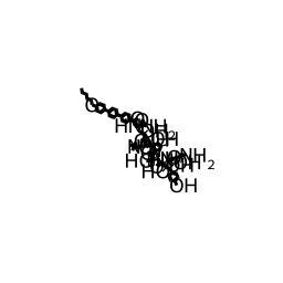 CCCCCOc1ccc(-c2ccc(-c3ccc(C(=O)N[C@@H](C[C@@H](O)[C@H](NC(=O)[C@@H]4[C@@H](O)[C@@H](C)CN4C(=O)[C@@H](NC(=O)[C@@H](NCO[C@@H](O)CN)[C@H](O)[C@@H](O)c4ccc(O)cc4)[C@@H](C)O)OC[C@H](C)[N+](C)(C)C)C(N)=O)cc3)cc2)cc1